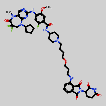 COc1cc(C(=O)NC2CCN(CCCCOCCCNc3cccc4c3C(=O)N(C3CCC(=O)NC3=O)C4=O)CC2)c(F)cc1Nc1ncc2c(n1)N(C1CCCC1)CC(F)(F)C(=O)N2C